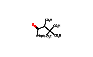 CCCCCCCC(=O)C(C(=O)O)C(C(=O)O)(C(=O)O)C(=O)O